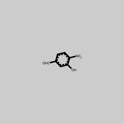 O=[C]c1ccc([N+](=O)[O-])c(O)c1